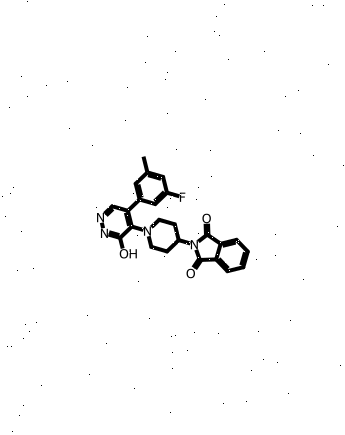 Cc1cc(F)cc(-c2cnnc(O)c2N2CCC(N3C(=O)c4ccccc4C3=O)CC2)c1